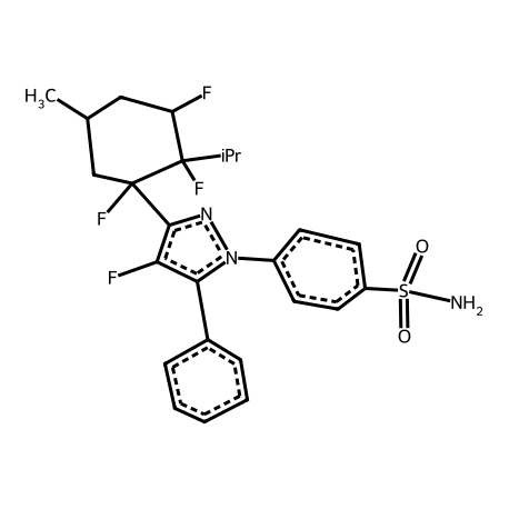 CC1CC(F)C(F)(C(C)C)C(F)(c2nn(-c3ccc(S(N)(=O)=O)cc3)c(-c3ccccc3)c2F)C1